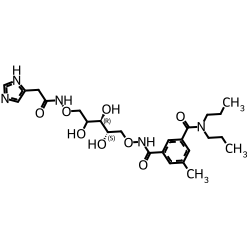 CCCN(CCC)C(=O)c1cc(C)cc(C(=O)NOC[C@H](O)[C@H](O)C(O)CONC(=O)Cc2cnc[nH]2)c1